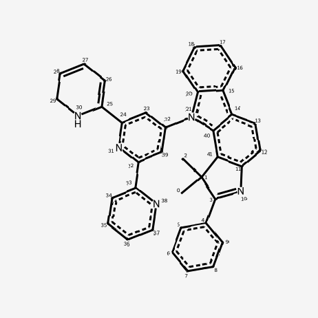 CC1(C)C(c2ccccc2)=Nc2ccc3c4ccccc4n(-c4cc(C5=CC=CCN5)nc(-c5ccccn5)c4)c3c21